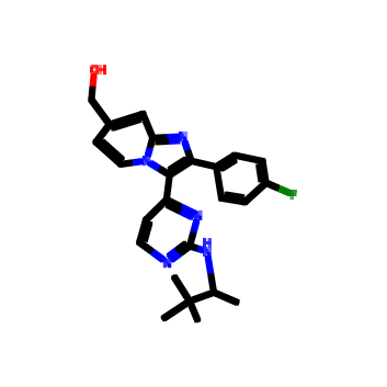 CC(Nc1nccc(-c2c(-c3ccc(F)cc3)nc3cc(CO)ccn23)n1)C(C)(C)C